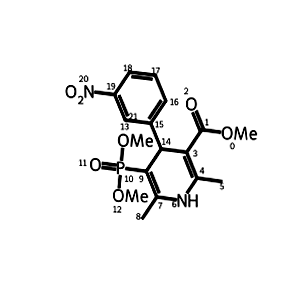 COC(=O)C1=C(C)NC(C)=C(P(=O)(OC)OC)C1c1cccc([N+](=O)[O-])c1